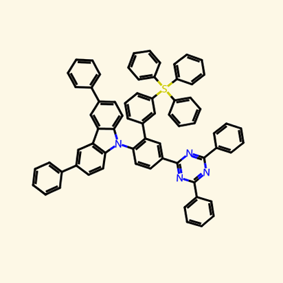 c1ccc(-c2ccc3c(c2)c2cc(-c4ccccc4)ccc2n3-c2ccc(-c3nc(-c4ccccc4)nc(-c4ccccc4)n3)cc2-c2cccc(S(c3ccccc3)(c3ccccc3)c3ccccc3)c2)cc1